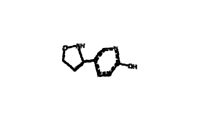 Oc1ccc(C2CCON2)cn1